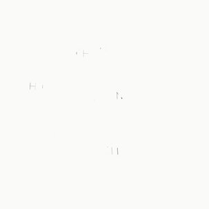 CC(C)P(C(C)C)N(C=O)C1CCCCC1